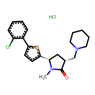 CN1C(=O)[C@@H](CN2CCCCC2)C[C@H]1c1ccc(-c2ccccc2Cl)s1.Cl